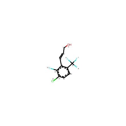 OCC=Cc1c(C(F)(F)F)ccc(Cl)c1F